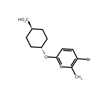 Cc1nc(O[C@H]2CC[C@H](C(=O)O)CC2)ccc1Br